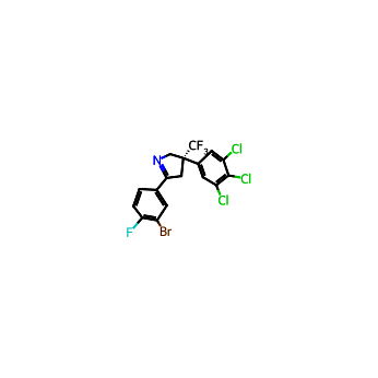 Fc1ccc(C2=NC[C@](c3cc(Cl)c(Cl)c(Cl)c3)(C(F)(F)F)C2)cc1Br